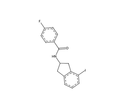 O=C(NC1Cc2cccc(I)c2C1)c1ccc(F)cc1